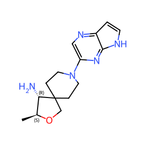 C[C@@H]1OCC2(CCN(c3cnc4cc[nH]c4n3)CC2)[C@H]1N